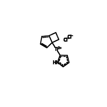 C1=C[C]2([Ti+2][c]3ccc[nH]3)CCC2=C1.[Cl-].[Cl-]